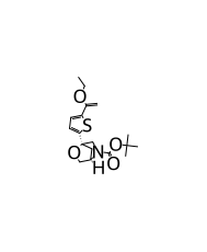 C=C(OCC)c1ccc([C@]23C[C@H](CO2)N(C(=O)OC(C)(C)C)C3)s1